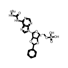 CCCCNC(=O)Nc1ncnc2c1ncn2[C@@H]1O[C@H](COP(=O)(O)O)C2OC(c3ccccc3)OC21